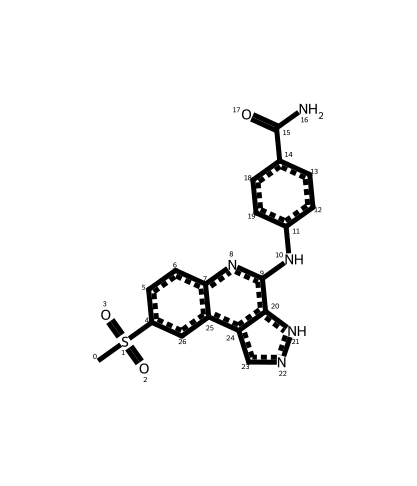 CS(=O)(=O)c1ccc2nc(Nc3ccc(C(N)=O)cc3)c3[nH]ncc3c2c1